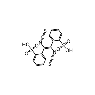 O=S(=O)(O)c1ccccc1C(N=C=S)=C(N=C=S)c1ccccc1S(=O)(=O)O